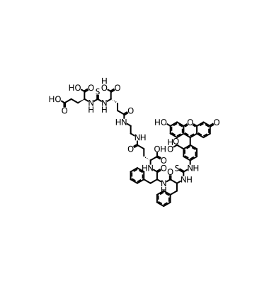 O=C(O)CC[C@H](NC(=S)N[C@@H](CCC(=O)NCCNC(=O)CC[C@@H](NC(=O)C(Cc1ccccc1)NC(=O)C(Cc1ccccc1)NC(=S)Nc1ccc(-c2c3ccc(=O)cc-3oc3cc(O)ccc23)c(C(=O)O)c1)C(=O)O)C(=O)O)C(=O)O